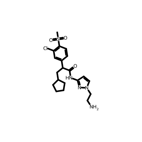 CS(=O)(=O)c1ccc(C(CC2CCCC2)C(=O)Nc2ccn(CCN)n2)cc1Cl